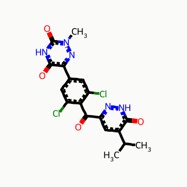 CC(C)c1cc(C(=O)c2c(Cl)cc(-c3nn(C)c(=O)[nH]c3=O)cc2Cl)n[nH]c1=O